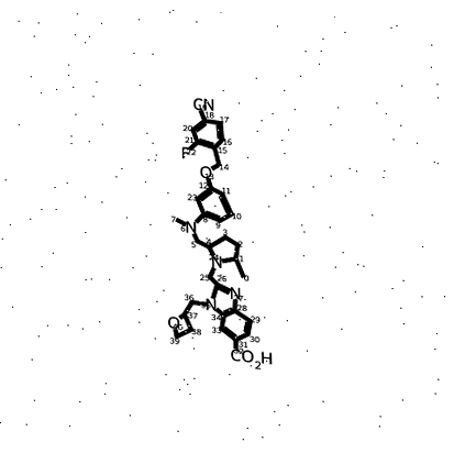 CC1CCC(CN(C)c2cccc(OCc3ccc(C#N)cc3F)c2)N1Cc1nc2ccc(C(=O)O)cc2n1CC1CCO1